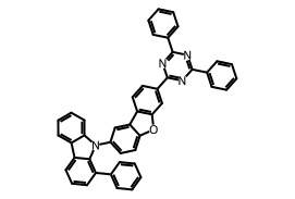 c1ccc(-c2nc(-c3ccccc3)nc(-c3ccc4c(c3)oc3ccc(-n5c6ccccc6c6cccc(-c7ccccc7)c65)cc34)n2)cc1